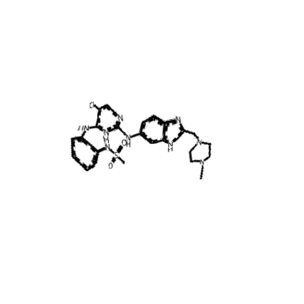 CN1CCN(Cc2nc3ccc(Nc4ncc(Cl)c(Nc5ccccc5NS(C)(=O)=O)n4)cc3[nH]2)CC1